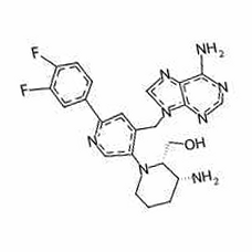 Nc1ncnc2c1ncn2Cc1cc(-c2ccc(F)c(F)c2)ncc1N1CCC[C@@H](N)[C@H]1CO